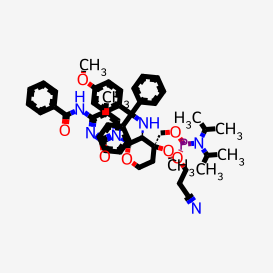 COc1ccc(C(N[C@H]2[C@H](n3cc(C)c(NC(=O)c4ccccc4)nc3=O)OCC[C@]2(COP(OCCC#N)N(C(C)C)C(C)C)OC)(c2ccccc2)c2ccccc2)cc1